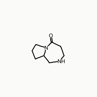 O=C1CCNCC2CCCN12